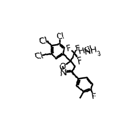 Cc1cc(C2=NOC(c3cc(Cl)c(Cl)c(Cl)c3)(C(F)(F)F)C2)ccc1F.Cl.N